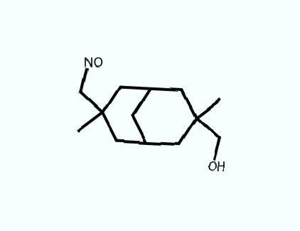 CC1(CO)CC2CC(C1)CC(C)(CN=O)C2